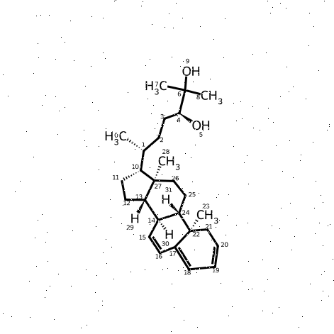 C[C@H](CC[C@H](O)C(C)(C)O)[C@H]1CC[C@H]2[C@@H]3C=CC4=CC=CC[C@]4(C)[C@H]3CC[C@]12C